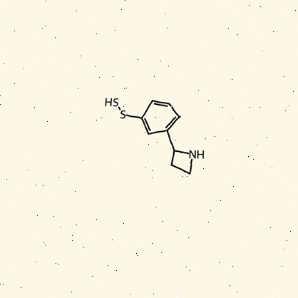 SSc1cccc(C2CCN2)c1